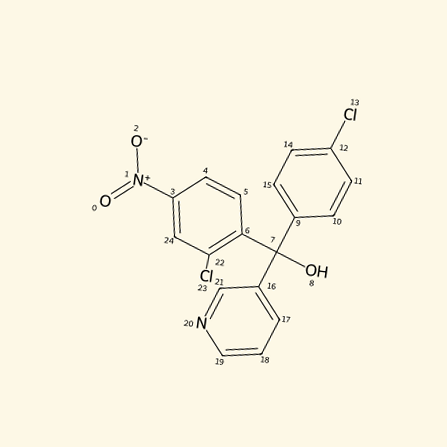 O=[N+]([O-])c1ccc(C(O)(c2ccc(Cl)cc2)c2cccnc2)c(Cl)c1